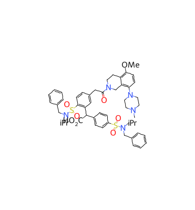 COc1ccc(N2CCN(C)CC2)c2c1CCN(C(=O)Cc1ccc(S(=O)(=O)N(Cc3ccccc3)C(C)C)c(C(C(=O)O)c3ccc(S(=O)(=O)N(Cc4ccccc4)C(C)C)cc3)c1)C2